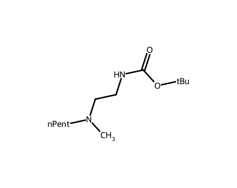 CCCCCN(C)CCNC(=O)OC(C)(C)C